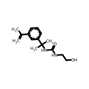 C=C(C)c1cccc(C(C)(C)NC(=O)NCCO)c1